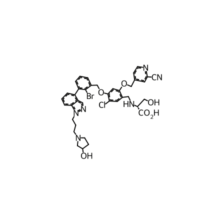 N#Cc1cc(COc2cc(OCc3cccc(-c4cccc5c4cnn5CCCN4CCC(O)C4)c3Br)c(Cl)cc2CN[C@@H](CO)C(=O)O)ccn1